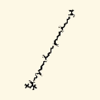 C=C(C)C(=O)OCCCCCC(=O)OCCCCCC(=O)OCCCCCC(=O)OCCCCCC(=O)OCCOC(=O)C(CC(C)(C)C)C(C)(C)C